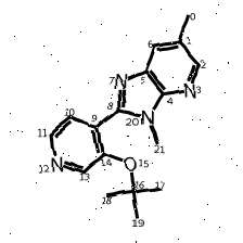 Cc1cnc2c(c1)nc(-c1ccncc1OC(C)(C)C)n2C